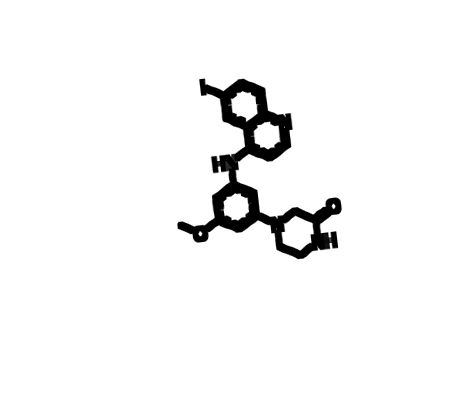 COc1cc(Nc2ccnc3ccc(I)cc23)cc(N2CCNC(=O)C2)c1